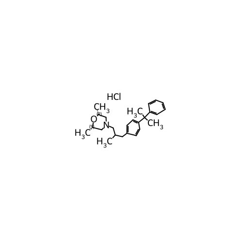 CC(Cc1ccc(C(C)(C)c2ccccc2)cc1)CN1C[C@@H](C)O[C@@H](C)C1.Cl